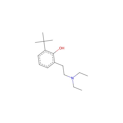 CCN(CC)CCc1cccc(C(C)(C)C)c1O